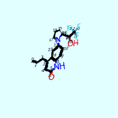 CCCc1cc(=O)[nH]c2ccc(N3CCC[C@@H]3[C@@H](O)C(F)(F)F)cc12